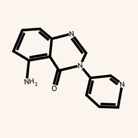 Nc1cccc2ncn(-c3cccnc3)c(=O)c12